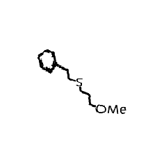 COCCCSCCc1ccccc1